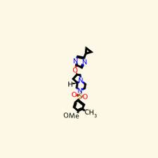 COc1ccc(S(=O)(=O)N2CCN3C[C@H](Oc4cnc(C5CC5)cn4)C[C@H]3C2)cc1C